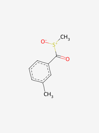 Cc1cccc(C(=O)[S+](C)[O-])c1